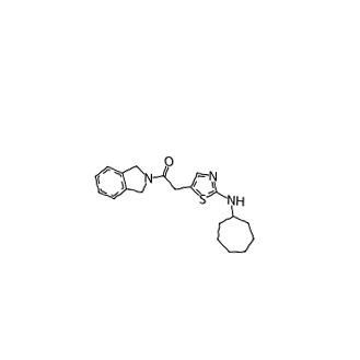 O=C(Cc1cnc(NC2CCCCCC2)s1)N1Cc2ccccc2C1